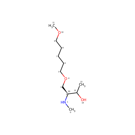 CN[C@@H](COCCCCCOC)C(C)O